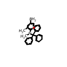 Bc1cnc(N(C)C(C2=CCCC=C2)(c2ccccc2)c2ccccc2)c(C)c1